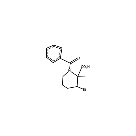 CCC1CCCN(C(=O)c2ccccc2)C1(C)C(=O)O